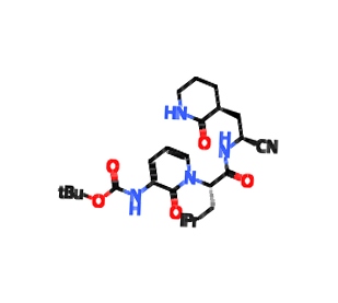 CC(C)C[C@@H](C(=O)N[C@H](C#N)C[C@@H]1CCCNC1=O)n1cccc(NC(=O)OC(C)(C)C)c1=O